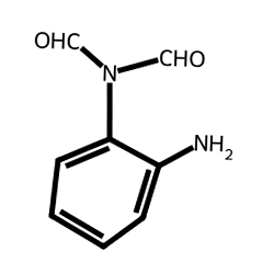 Nc1ccccc1N(C=O)C=O